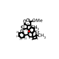 CCC1(C)CCC1(CC(CC1C(=O)OC(=O)C1C(C)C(=O)OC)c1ccccc1)c1ccccc1